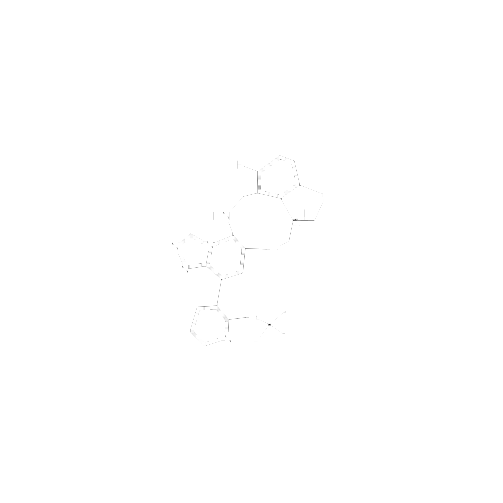 Fc1ccc2c3c1CNc1c(cc(-c4cccnc4OC(F)(F)F)c4nncn14)OC[C@H]3CO2